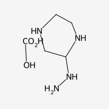 NNC1CNCCN1.O=C(O)O